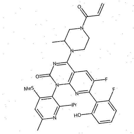 C=CC(=O)N1CCN(c2nc(=O)n(-c3c(SC)cc(C)nc3C(C)C)c3nc(-c4c(O)cccc4F)c(F)cc23)C(C)C1